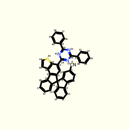 N#Cc1ccc2c(c1)C1(c3ccccc3-2)c2ccccc2-c2c1cc(-c1nc(-c3ccccc3)nc(-c3ccccc3)n1)c1sccc21